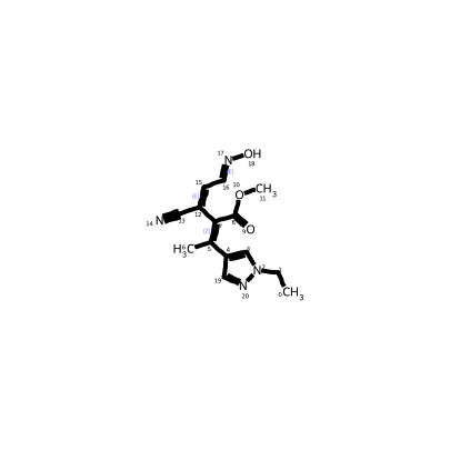 CCn1cc(/C(C)=C(C(=O)OC)/C(C#N)=C\C=N\O)cn1